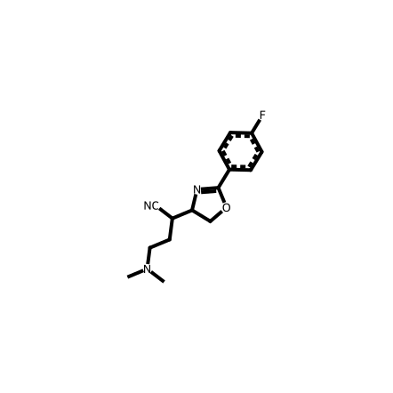 CN(C)CCC(C#N)C1COC(c2ccc(F)cc2)=N1